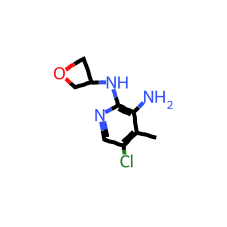 Cc1c(Cl)cnc(NC2COC2)c1N